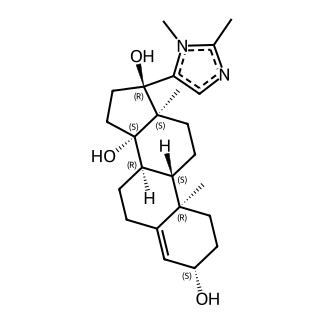 Cc1ncc([C@@]2(O)CC[C@]3(O)[C@@H]4CCC5=C[C@@H](O)CC[C@]5(C)[C@H]4CC[C@]23C)n1C